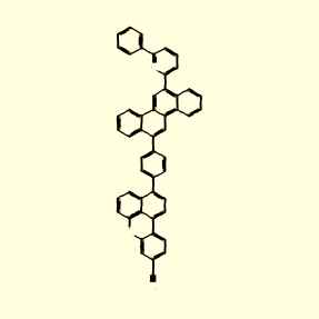 N#Cc1ccc2c(c1)Oc1cccc3c(-c4ccc(-c5cc6c7ccccc7c(-c7cccc(-c8ccccc8)n7)cc6c6ccccc56)cc4)ccc-2c13